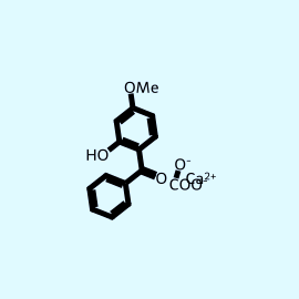 COc1ccc(C(=O)c2ccccc2)c(O)c1.O=C([O-])[O-].[Ca+2]